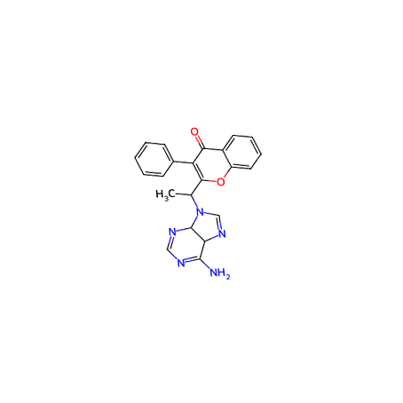 CC(c1oc2ccccc2c(=O)c1-c1ccccc1)N1C=NC2C(N)=NC=NC21